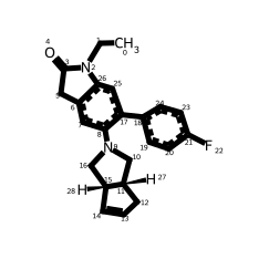 CCN1C(=O)Cc2cc(N3C[C@@H]4CC=C[C@@H]4C3)c(-c3ccc(F)cc3)cc21